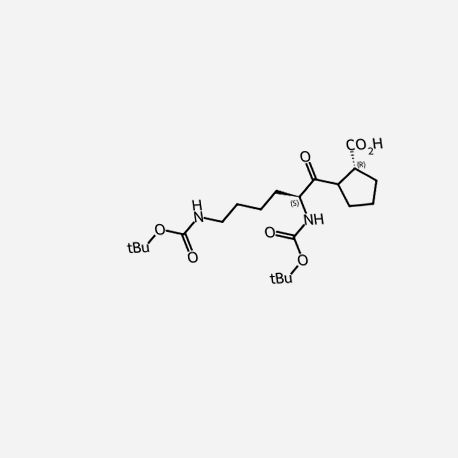 CC(C)(C)OC(=O)NCCCC[C@H](NC(=O)OC(C)(C)C)C(=O)C1CCC[C@H]1C(=O)O